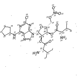 CC(C)[C@H](N)C(=O)O[C@@H]1[C@H](OC(=O)[C@@H](N)C(C)C)[C@@H](CO[N+](=O)[O-])O[C@H]1n1cnc2c(NC3CCCC3)nc(Cl)nc21